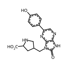 O=C(O)C1CC(Cn2c(=O)[nH]c3ncc(-c4ccc(O)cc4)nc32)CN1